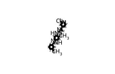 Cc1cccc(-c2nc3cc(Nc4nc(-c5ccnc(Cl)c5)cs4)c(C)cc3[nH]2)c1